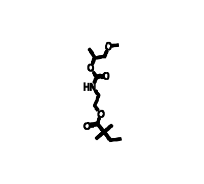 CCC(C)(C)C(=O)OCCNC(=O)OC(C)COC